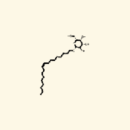 CCCCCCCC/C=C\CCCCCCCCS[C@@H]1O[C@H](CO)[C@H](O)[C@H](O)[C@H]1O